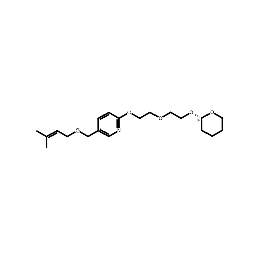 CC(C)=CCOCc1ccc(OCCOCCO[C@H]2CCCCO2)nc1